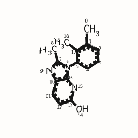 Cc1cccc(-n2c(C)nc3ccc(O)nc32)c1C